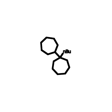 CCCCC1(C2CCCCCC2)CCCCCC1